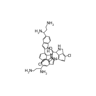 NCCC(N)c1ccc2[nH]c(-c3ccc(Cl)c4c3C(C(=O)C3NCc5c(Cl)ccc(-c6cc7cc(C(N)CCN)ccc7[nH]6)c53)NC4)cc2c1